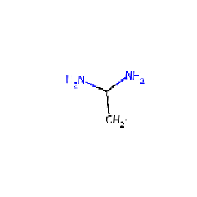 [CH2]C(N)N